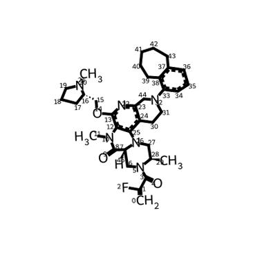 C=C(F)C(=O)N1C[C@@H]2C(=O)N(C)c3c(OC[C@@H]4CCCN4C)nc4c(c3N2C[C@H]1C)CCN(c1cccc2c1CCCCC2)C4